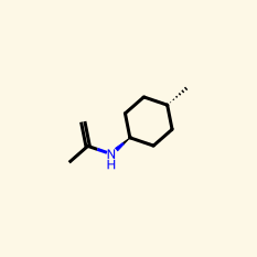 C=C(C)N[C@H]1CC[C@H](C)CC1